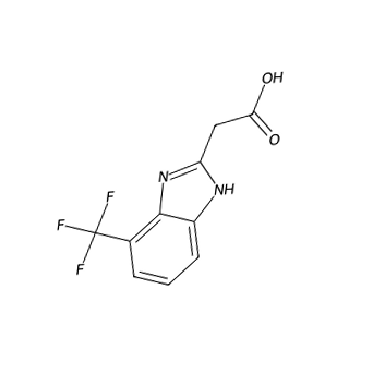 O=C(O)Cc1nc2c(C(F)(F)F)cccc2[nH]1